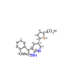 COc1ccccc1-c1c[nH]c2ncc(-c3ccc(C(=O)O)s3)cc12